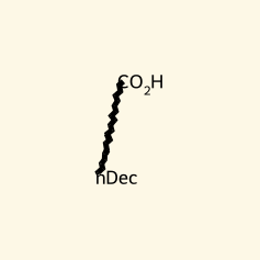 CCCCCCCCCCCCCCC=CCC=CCCCCCCCCCCC(=O)O